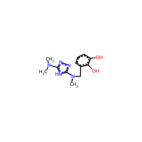 CN(C)c1nnc(N(C)Cc2cccc(O)c2O)[nH]1